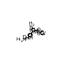 CC(C)(c1cc(N)nc(-c2ccc(NC(N)=O)cc2)n1)S(=O)(=O)c1ccncc1